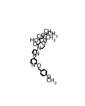 COc1ccc(COc2cc(-n3ccc(N4CCOC(C(C)(O)C(=O)OC(C)(C)C)C4=O)n3)ccn2)cc1